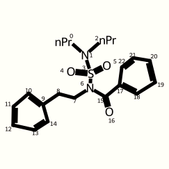 CCCN(CCC)S(=O)(=O)N(CCc1ccccc1)C(=O)c1ccccc1